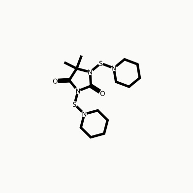 CC1(C)C(=O)N(SN2CCCCC2)C(=O)N1SN1CCCCC1